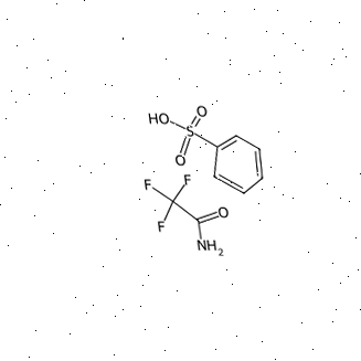 NC(=O)C(F)(F)F.O=S(=O)(O)c1ccccc1